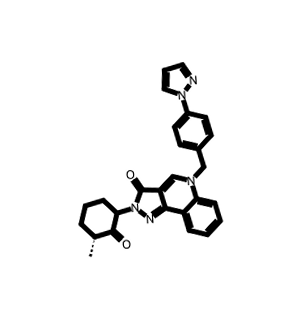 C[C@@H]1CCCC(n2nc3c4ccccc4n(Cc4ccc(-n5cccn5)cc4)cc-3c2=O)C1=O